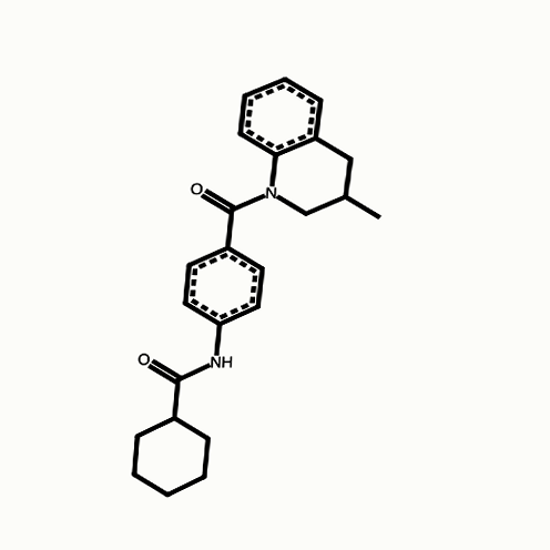 CC1Cc2ccccc2N(C(=O)c2ccc(NC(=O)C3CCCCC3)cc2)C1